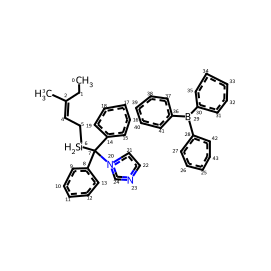 CCC(C)=CC[SiH2]C(c1ccccc1)(c1ccccc1)n1ccnc1.c1ccc(B(c2ccccc2)c2ccccc2)cc1